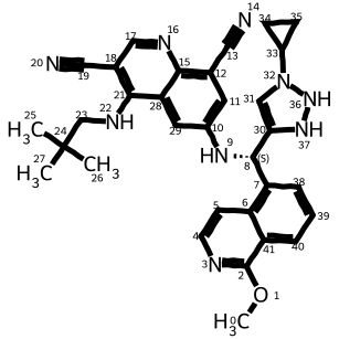 COc1nccc2c([C@H](Nc3cc(C#N)c4ncc(C#N)c(NCC(C)(C)C)c4c3)C3=CN(C4CC4)NN3)cccc12